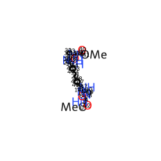 COC(=O)NCC(=O)N1CCC[C@H]1c1ncc(-c2ccc(/C=C/c3ccc(-c4cnc([C@@H]5CCCN5C(=O)CNC(=O)OC)[nH]4)cc3)cc2)[nH]1